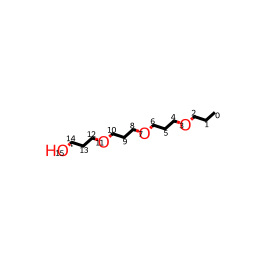 CCCOCCCOCCCOCC[CH]O